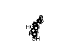 CC12CCC3C(CC[C@@H]4CC(O)CC[C@]34C)C1(O)CC[C@@H]2C1=CC(=O)OC1